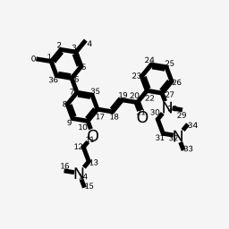 Cc1cc(C)cc(-c2ccc(OCCN(C)C)c(C=CC(=O)c3ccccc3N(C)CCN(C)C)c2)c1